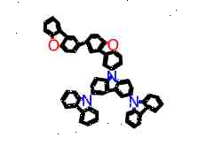 c1ccc2c(c1)oc1ccc(-c3ccc4oc5ccc(-n6c7ccc(-n8c9ccccc9c9ccccc98)cc7c7cc(-n8c9ccccc9c9ccccc98)ccc76)cc5c4c3)cc12